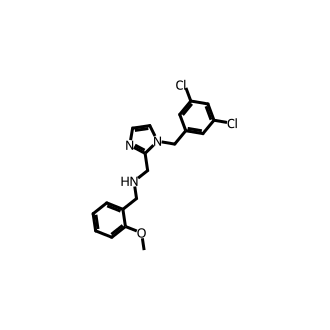 COc1ccccc1CNCc1nccn1Cc1cc(Cl)cc(Cl)c1